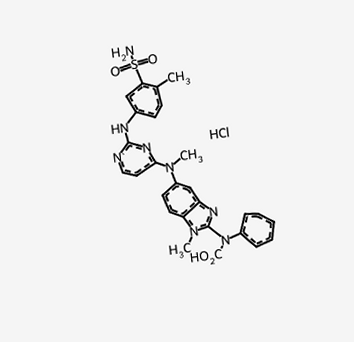 Cc1ccc(Nc2nccc(N(C)c3ccc4c(c3)nc(N(C(=O)O)c3ccccc3)n4C)n2)cc1S(N)(=O)=O.Cl